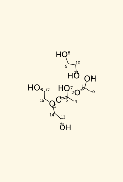 CC(=O)O.CC(=O)O.OCCO.OCCOCCO